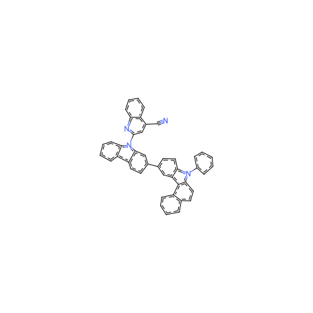 N#Cc1cc(-n2c3ccccc3c3ccc(-c4ccc5c(c4)c4c6ccccc6ccc4n5-c4ccccc4)cc32)nc2ccccc12